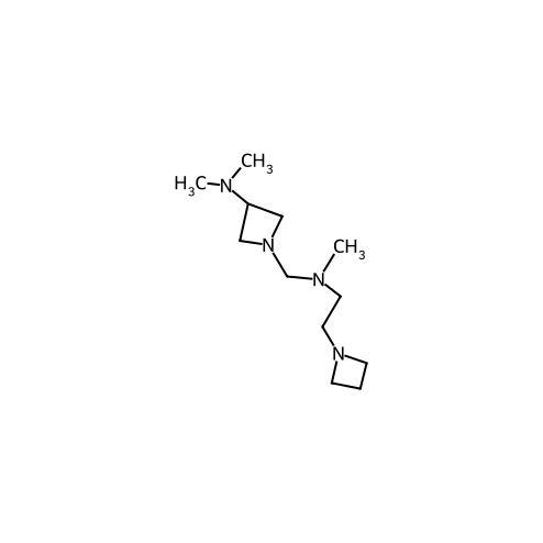 CN(CCN1CCC1)CN1CC(N(C)C)C1